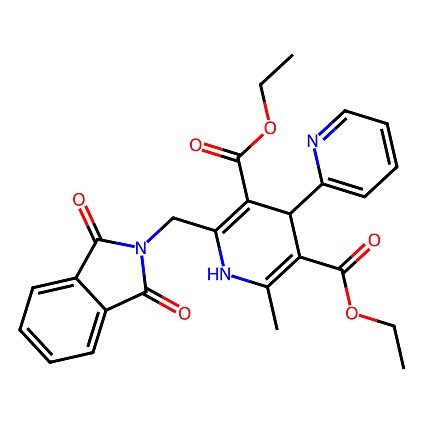 CCOC(=O)C1=C(C)NC(CN2C(=O)c3ccccc3C2=O)=C(C(=O)OCC)C1c1ccccn1